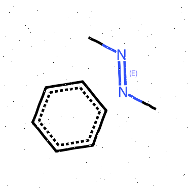 C/N=N/C.c1ccccc1